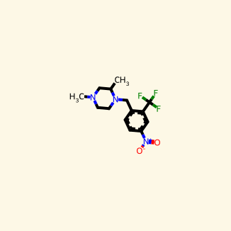 CC1CN(C)CCN1Cc1ccc([N+](=O)[O-])cc1C(F)(F)F